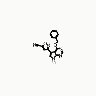 N#Cc1cc(-c2c[nH]c3ncnc(OCc4ccccc4)c23)no1